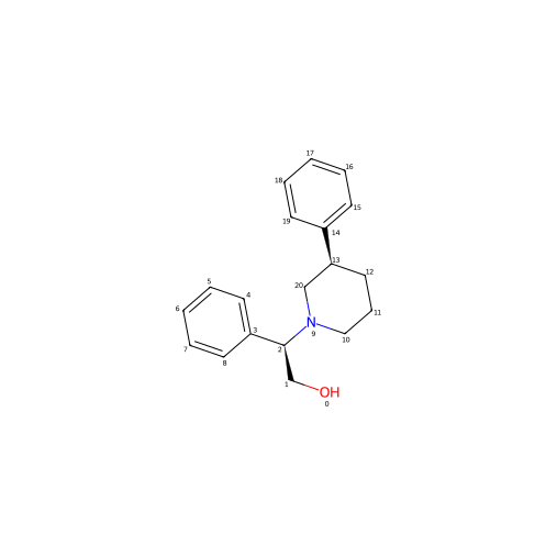 OC[C@@H](c1ccccc1)N1CCC[C@H](c2ccccc2)C1